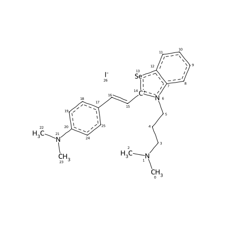 CN(C)CCCn1c2ccccc2[se][c+]1C=Cc1ccc(N(C)C)cc1.[I-]